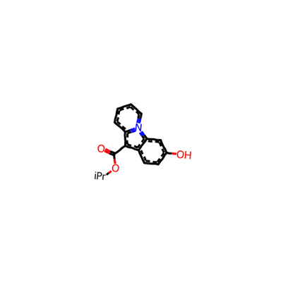 CC(C)OC(=O)c1c2ccc(O)cc2n2ccccc12